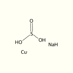 O=S(O)O.[Cu].[NaH]